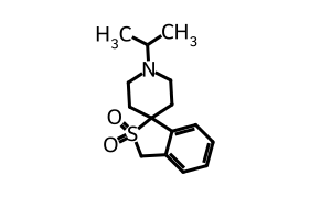 CC(C)N1CCC2(CC1)c1ccccc1CS2(=O)=O